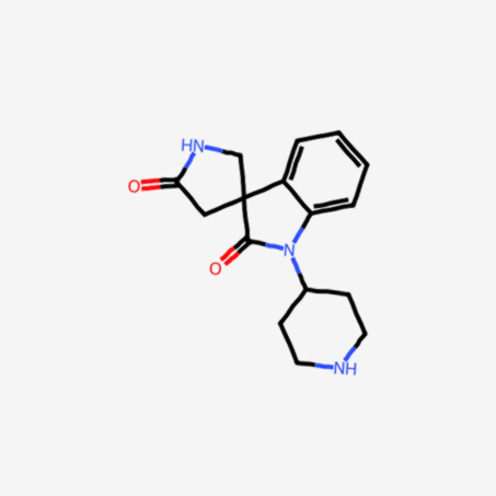 O=C1CC2(CN1)C(=O)N(C1CCNCC1)c1ccccc12